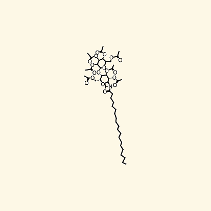 CCCCCCCCCCCCCCCCCCCC(=O)NC1O[C@H](COC(C)=O)[C@@H](O[C@@H]2O[C@H](COC(C)=O)[C@@H](OC(C)=O)[C@H](OC(C)=O)[C@@H]2OC(C)=O)[C@H](OC(C)=O)[C@@H]1OC(C)=O